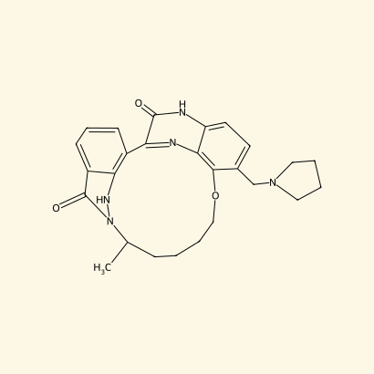 CC1CCCCOc2c(CN3CCCC3)ccc3[nH]c(=O)c(nc23)-c2cccc3c(=O)n1[nH]c23